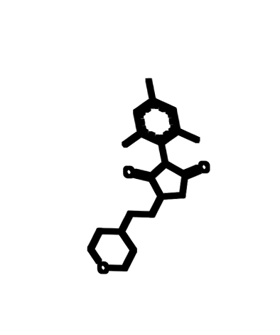 Cc1cc(C)c(C2C(=O)CC(CCC3CCOCC3)C2=O)c(C)c1